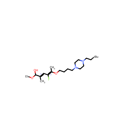 CCOC(O)/C(C)=C/C(F)=C(\C)OCCCCN1CCN(CCC(C)(C)C)CC1